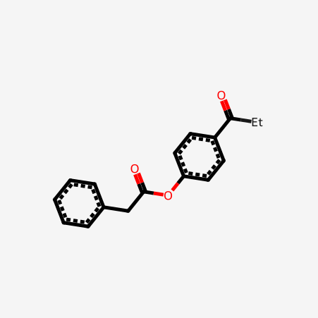 CCC(=O)c1ccc(OC(=O)Cc2ccccc2)cc1